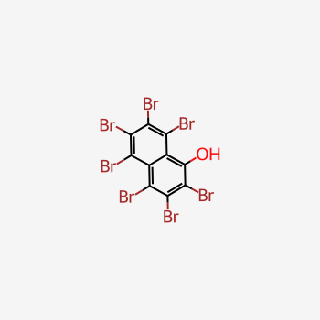 Oc1c(Br)c(Br)c(Br)c2c(Br)c(Br)c(Br)c(Br)c12